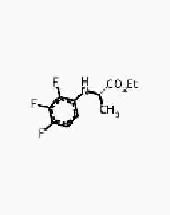 CCOC(=O)[C@H](C)Nc1ccc(F)c(F)c1F